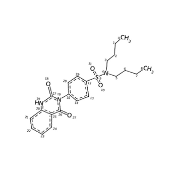 CCCCN(CCCC)S(=O)(=O)c1ccc(-n2c(=O)[nH]c3ccccc3c2=O)cc1